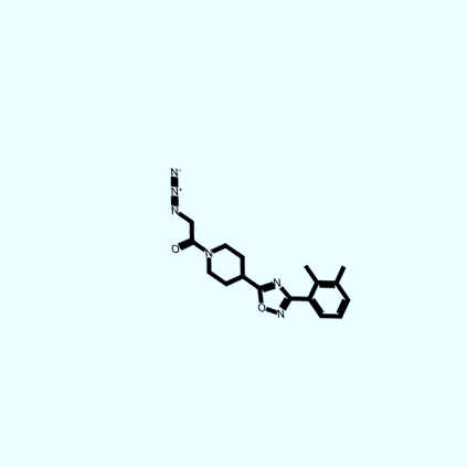 Cc1cccc(-c2noc(C3CCN(C(=O)CN=[N+]=[N-])CC3)n2)c1C